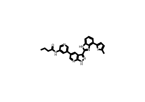 CCCC(=O)Nc1cncc(-c2cnc3[nH]nc(-c4nc5c(-c6ccc(C)s6)cccc5[nH]4)c3c2)c1